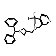 FC(F)(F)c1ccncc1COCC1CN(C(c2ccccc2)c2ccccc2)C1